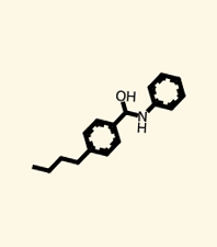 CCCCc1ccc(C(O)Nc2ccccc2)cc1